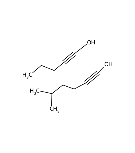 CC(C)CCC#CO.CCCC#CO